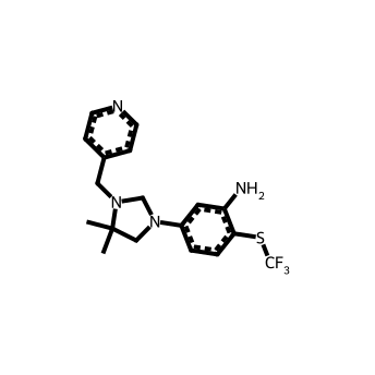 CC1(C)CN(c2ccc(SC(F)(F)F)c(N)c2)CN1Cc1ccncc1